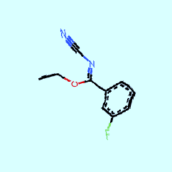 CCOC(=NC#N)c1cccc(F)c1